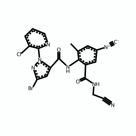 [C-]#[N+]c1cc(C)c(NC(=O)c2cc(Br)nn2-c2ncccc2Cl)c(C(=O)NCC#N)c1